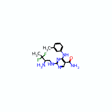 Cc1cccc(Nc2nc(NCC(N)C(C)(F)F)ncc2C(N)=O)c1